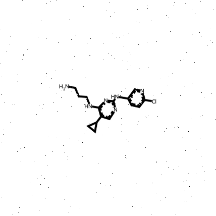 NCCCNc1nc(Nc2ccc(Cl)nc2)ncc1C1CC1